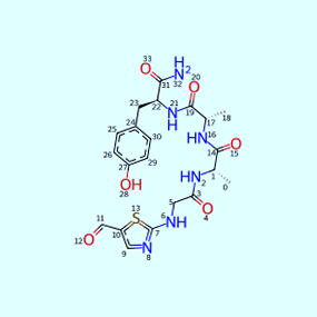 C[C@H](NC(=O)CNc1ncc(C=O)s1)C(=O)N[C@@H](C)C(=O)N[C@@H](Cc1ccc(O)cc1)C(N)=O